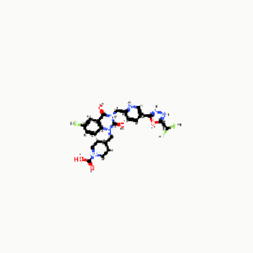 O=C(O)N1CCC(Cn2c(=O)n(Cc3ccc(-c4nnc(C(F)F)o4)cn3)c(=O)c3cc(F)ccc32)CC1